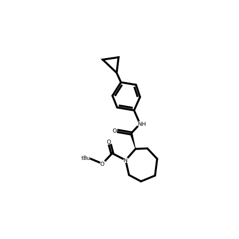 CC(C)(C)OC(=O)N1CCCCC[C@@H]1C(=O)Nc1ccc(C2CC2)cc1